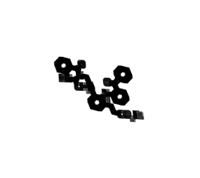 CCOC(=O)CCc1cccc(C#CCN2C(=O)c3ccccc3NC2C)c1Nc1ccccc1C(=O)c1ccccc1